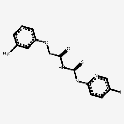 Cc1cccc(OCC(=O)NC(=S)Nc2ccc(I)cn2)c1